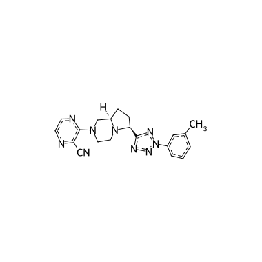 Cc1cccc(-n2nnc([C@@H]3CC[C@@H]4CN(c5nccnc5C#N)CCN43)n2)c1